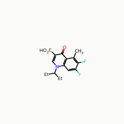 CCC(CC)n1cc(C(=O)O)c(=O)c2c(C)c(F)c(F)cc21